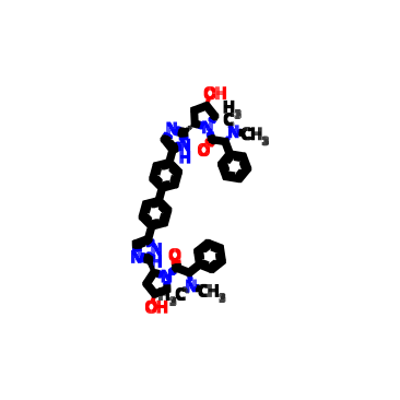 CN(C)[C@@H](C(=O)N1C[C@H](O)C[C@H]1c1ncc(-c2ccc(-c3ccc(-c4cnc([C@@H]5C[C@H](O)CN5C(=O)[C@@H](c5ccccc5)N(C)C)[nH]4)cc3)cc2)[nH]1)c1ccccc1